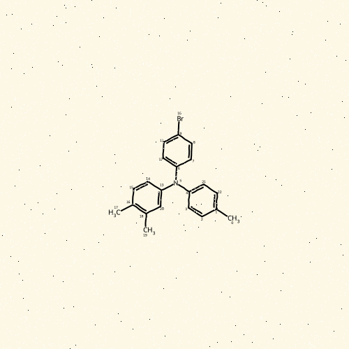 Cc1ccc(N(c2ccc(Br)cc2)c2ccc(C)c(C)c2)cc1